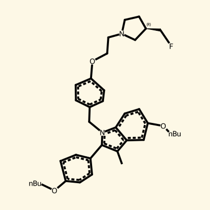 CCCCOc1ccc(-c2c(C)c3cc(OCCCC)ccc3n2Cc2ccc(OCCN3CC[C@@H](CF)C3)cc2)cc1